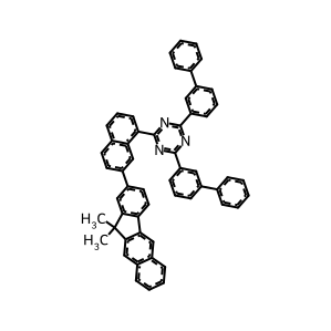 CC1(C)c2cc(-c3ccc4cccc(-c5nc(-c6cccc(-c7ccccc7)c6)nc(-c6cccc(-c7ccccc7)c6)n5)c4c3)ccc2-c2cc3ccccc3cc21